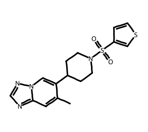 Cc1cc2ncnn2cc1C1CCN(S(=O)(=O)c2ccsc2)CC1